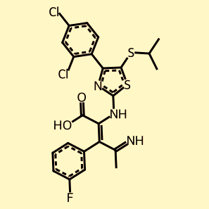 CC(=N)/C(=C(\Nc1nc(-c2ccc(Cl)cc2Cl)c(SC(C)C)s1)C(=O)O)c1cccc(F)c1